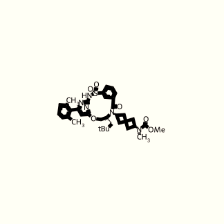 COC(=O)N(C)[C@H]1CC2(C1)C[C@H](N1C(=O)c3cccc(c3)S(=O)(=O)Nc3nc(cc(-c4c(C)cccc4C)n3)OC[C@H]1CC(C)(C)C)C2